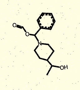 CC(O)C1CCN(C(OC=O)c2ccccc2)CC1